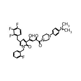 CN(C)c1ccc(N2CCN(C(=O)C(=O)C=C(O)c3cc(Cc4ccc(F)c(F)c4F)cn(Cc4ccccc4F)c3=O)CC2)cc1